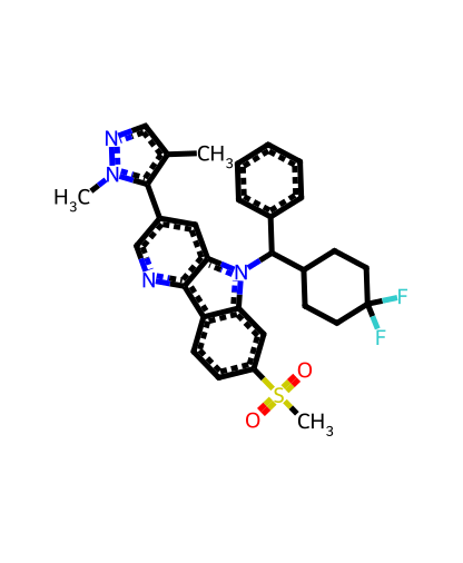 Cc1cnn(C)c1-c1cnc2c3ccc(S(C)(=O)=O)cc3n(C(c3ccccc3)C3CCC(F)(F)CC3)c2c1